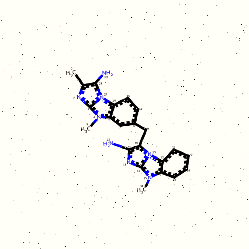 Cc1nc2n(C)c3cc(Cc4c(N)nc5n(C)c6ccccc6n45)ccc3n2c1N